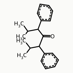 CC(C)C(C(=O)C(c1ccccc1)C(C)C)c1ccccc1